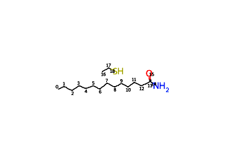 CCCCCCCCCCCCCC(N)=O.CCS